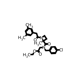 CCOC(=O)CN(Cc1ccc(Cl)cc1)C(=O)[C@@]1(C)CCN1C(=O)Cc1cc(C)cc(C)c1